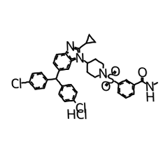 CNC(=O)c1cccc(S(=O)(=O)N2CCC(n3c(C4CC4)nc4ccc(C(c5ccc(Cl)cc5)c5ccc(Cl)cc5)cc43)CC2)c1.Cl